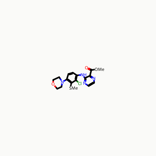 COC(=O)c1nccnc1Nc1ccc(N2CCOCC2)c(SC)c1Cl